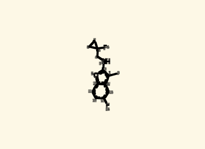 Cc1c(NCC2(F)CC2)oc2ccc(F)cc12